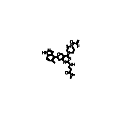 C=C(F)C(=O)N1CCN(c2nc(NCCC(=O)N(C)C)nc3c2COC(c2c(C)ccc4[nH]ncc24)C3)C[C@H]1C